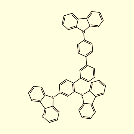 c1cc(-c2ccc(-n3c4ccccc4c4ccccc43)cc2)cc(-c2ccc(-n3c4ccccc4c4ncccc43)cc2-n2c3ccccc3c3ccccc32)c1